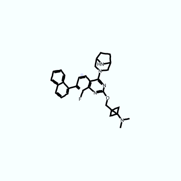 C=C(/C=C\c1c(CF)nc(OCC23CC2(N(C)C)C3)nc1N1CC2CCC(C1)N2)c1cccc2ccccc12